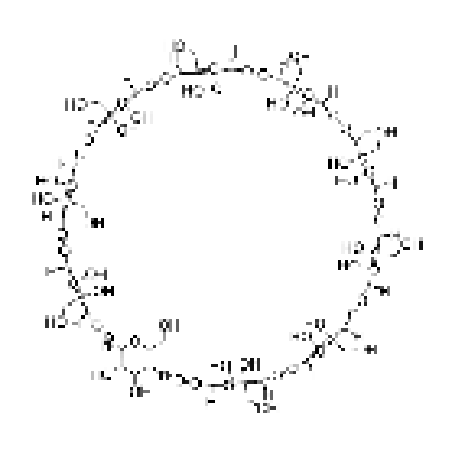 OCC1O[C@H]2OO[C@@H]3C(CO)O[C@H](OO[C@@H]4C(CO)O[C@H](OO[C@@H]5C(CO)O[C@H](OO[C@@H]6C(CO)O[C@H](OO[C@@H]7C(CO)O[C@H](OO[C@@H]8C(CO)O[C@H](OO[C@@H]9C(CO)O[C@H](OO[C@@H]%10C(CO)O[C@H](OO[C@@H]%11C(CO)O[C@H](OO[C@H]1C(O)C2O)C(O)C%11O)C(O)C%10O)C(O)C9O)C(O)C8O)C(O)C7O)C(O)C6O)C(O)C5O)C(O)C4O)C(O)C3O